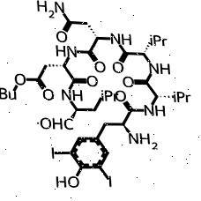 CC(C)C[C@@H]([C]=O)NC(=O)[C@H](CC(=O)OC(C)(C)C)NC(=O)[C@H](CC(N)=O)NC(=O)[C@@H](NC(=O)[C@@H](NC(=O)[C@@H](N)Cc1cc(I)c(O)c(I)c1)C(C)C)C(C)C